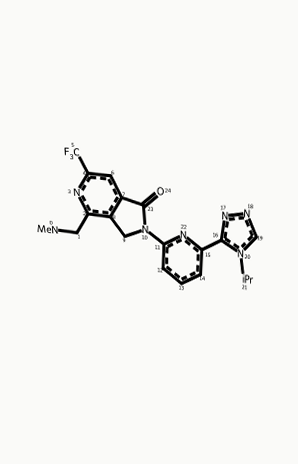 CNCc1nc(C(F)(F)F)cc2c1CN(c1cccc(-c3nncn3C(C)C)n1)C2=O